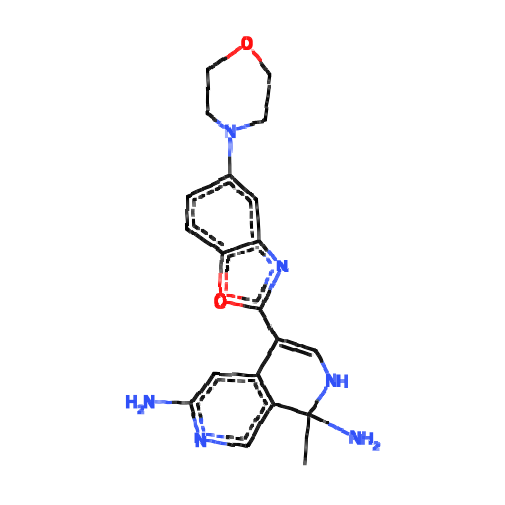 CC1(N)NC=C(c2nc3cc(N4CCOCC4)ccc3o2)c2cc(N)ncc21